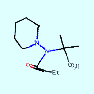 CCC(=O)N(N1CCCCC1)C(C)(C)C(=O)O